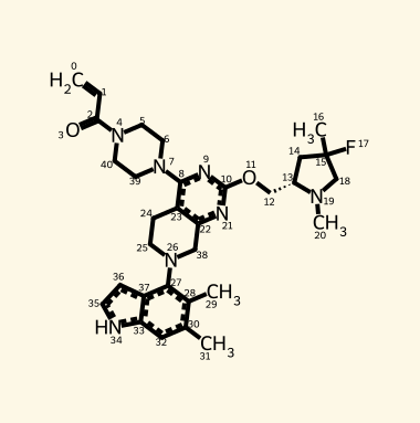 C=CC(=O)N1CCN(c2nc(OC[C@@H]3CC(C)(F)CN3C)nc3c2CCN(c2c(C)c(C)cc4[nH]ccc24)C3)CC1